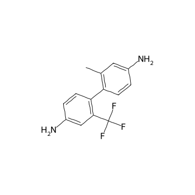 Cc1cc(N)ccc1-c1ccc(N)cc1C(F)(F)F